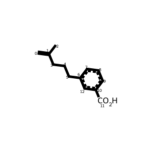 C=C(C)CCCc1cccc(C(=O)O)c1